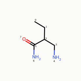 CCC(CN)C(N)=O